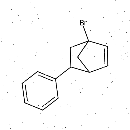 BrC12C=CC(C1)C(c1ccccc1)C2